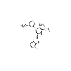 Cc1cccc(-c2nc(SCc3cccc(F)c3F)nc(C)c2N)c1